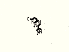 C=Nc1nc(Cl)ccc1/N=C\Cc1cnn(C)c1